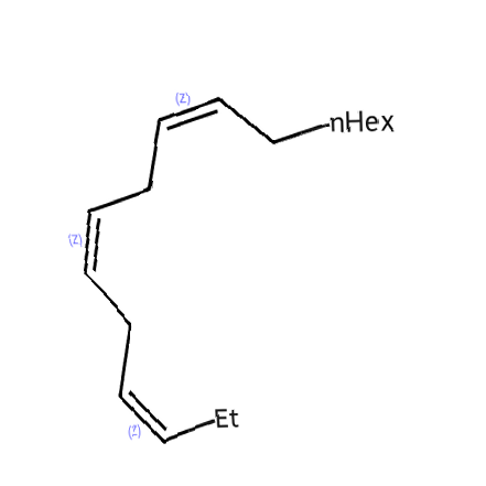 [CH2]C/C=C\C/C=C\C/C=C\CCCCCCC